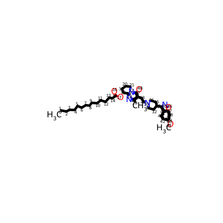 CCCCCCCCCCCCCCCC(=O)OC1CCCn2c1nc(C)c(CCN1CCC(c3noc4cc(OC)ccc34)CC1)c2=O